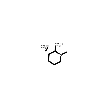 CCOC(=O)Cl.CN1CCCCC1C(=O)O